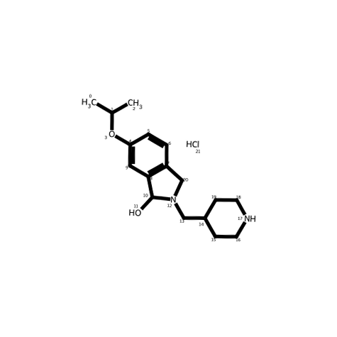 CC(C)Oc1ccc2c(c1)C(O)N(CC1CCNCC1)C2.Cl